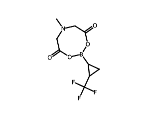 CN1CC(=O)OB(C2CC2C(F)(F)F)OC(=O)C1